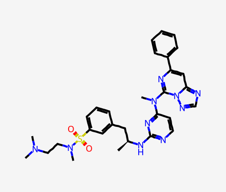 C[C@@H](Cc1cccc(S(=O)(=O)N(C)CCN(C)C)c1)Nc1nccc(N(C)c2nc(-c3ccccc3)cc3ncnn23)n1